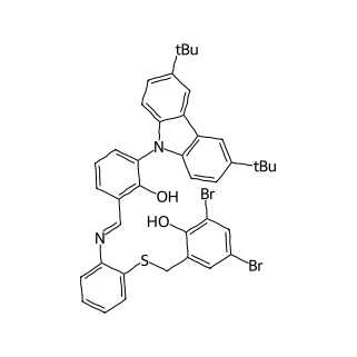 CC(C)(C)c1ccc2c(c1)c1cc(C(C)(C)C)ccc1n2-c1cccc(/C=N/c2ccccc2SCc2cc(Br)cc(Br)c2O)c1O